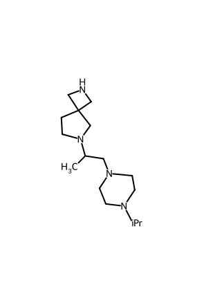 CC(C)N1CCN(CC(C)N2CCC3(CNC3)C2)CC1